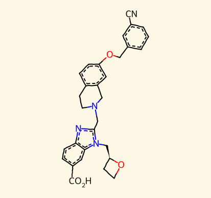 N#Cc1cccc(COc2ccc3c(c2)CN(Cc2nc4ccc(C(=O)O)cc4n2C[C@@H]2CCO2)CC3)c1